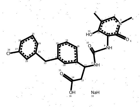 Cc1cn(C)c(=O)c(NC(=O)NC(CC(=O)O)c2cccc(Cc3cccc(Cl)c3)c2)c1O.[NaH]